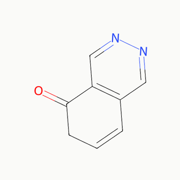 O=C1CC=Cc2cnncc21